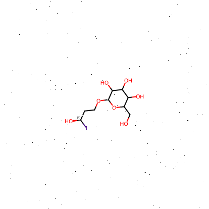 OCC1OC(OCC[C@H](O)I)C(O)C(O)C1O